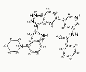 O=C(Nc1cncc(-c2ccc3[nH]nc(-c4cc5c(N6CCCCC6)cccc5[nH]4)c3n2)c1)c1ccccc1